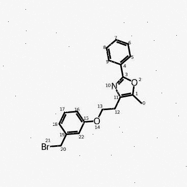 Cc1oc(-c2ccccc2)nc1CCOc1cccc(CBr)c1